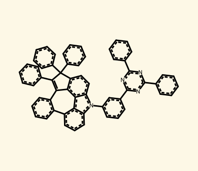 c1ccc(C2=C3c4ccccc4-c4cccc5c4c4c3c(ccc4n5-c3cccc(-c4nc(-c5ccccc5)nc(-c5ccccc5)n4)c3)C2(c2ccccc2)c2ccccc2)cc1